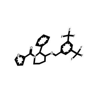 O=C(c1ccco1)N1CCCC(OCc2cc(C(F)(F)F)cc(C(F)(F)F)c2)C1c1ccccc1